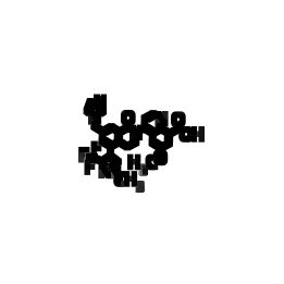 COc1cc(C(=O)O)c2nccc(N3CCc4c(cc(Cn5ccnc5)cc4-c4cn(C)nc4C(F)(F)F)C3=O)c2c1